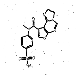 CN(C(=O)c1csc2c1C1=NCCN1C=N2)c1ccc(S(N)(=O)=O)cc1